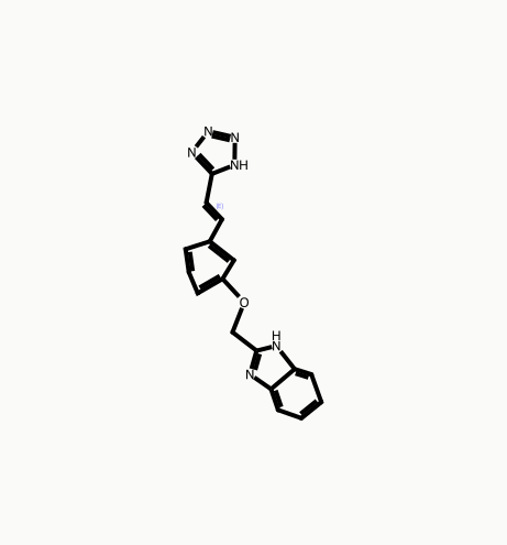 C(=C\c1nnn[nH]1)/c1cccc(OCc2nc3ccccc3[nH]2)c1